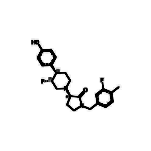 Cc1ccc(CN2CC[C@@H](N3CC[C@H](c4ccc(O)cc4)[C@@H](F)C3)C2=O)cc1F